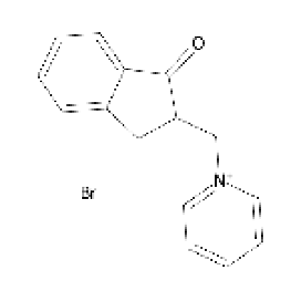 O=C1c2ccccc2CC1C[n+]1ccccc1.[Br-]